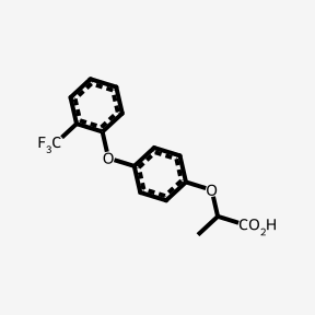 CC(Oc1ccc(Oc2ccccc2C(F)(F)F)cc1)C(=O)O